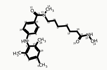 Cc1cc(C)c(Nc2ccc(C(=O)N(C)CCCCCCC(=O)NO)cc2)c(C)c1